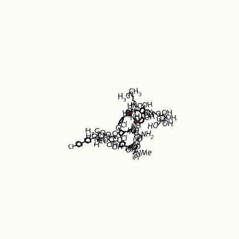 CCC1(NCc2ccc(-c3ccc(Cl)cc3)cc2)C[C@H](O[C@@H]2C(O)C(O)[C@@H](CO)O[C@H]2Oc2c3cc4cc2Oc2ccc(cc2Cl)[C@@H](O)[C@@H](NC(=O)[C@@H](CC(C)C)NC)C(=O)NC(CC(N)=O)C(=O)N[C@H]4C(=O)N[C@@H]2C(=O)N[C@H](C(=O)N[C@H](C(=O)NCCCN(C)C)c4cc(O)c(CNCCOC5OC(CO)[C@@H](O)[C@H](O)[C@H]5O)c(O)c4-c4cc2ccc4O)[C@H](O)c2ccc(c(Cl)c2)O3)O[C@@H](C)[C@@H]1O